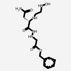 NC(=O)C[C@H](NCCNO)C(=O)NNCC(=O)OCc1ccccc1